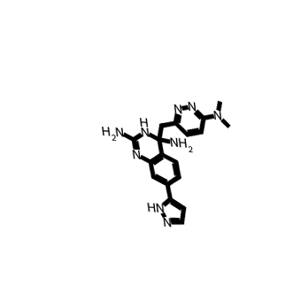 CN(C)c1ccc(CC2(N)NC(N)=Nc3cc(-c4ccn[nH]4)ccc32)nn1